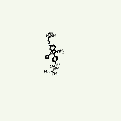 CC(C)NC(=O)Nc1ccc(-c2c(N)c3ccc(OCCc4ncn[nH]4)cc3n2C2CCC2)cc1